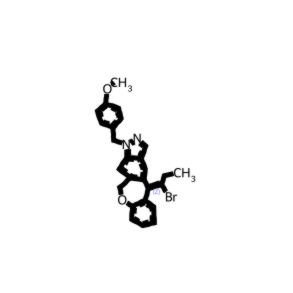 CC/C(Br)=C1\c2cc3cnn(Cc4ccc(OC)cc4)c3cc2COc2ccccc21